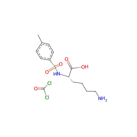 Cc1ccc(S(=O)(=O)N[C@@H](CCCCN)C(=O)O)cc1.O=C(Cl)Cl